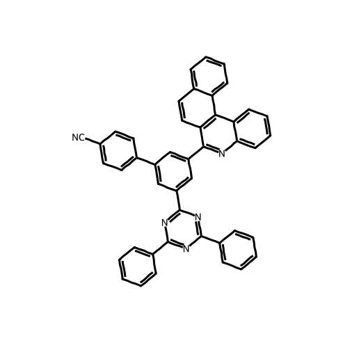 N#Cc1ccc(-c2cc(-c3nc(-c4ccccc4)nc(-c4ccccc4)n3)cc(-c3nc4ccccc4c4c3ccc3ccccc34)c2)cc1